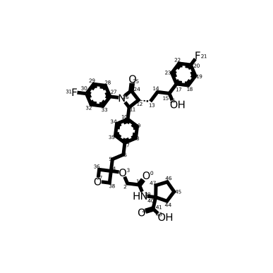 O=C(COC1(CCc2ccc(C3[C@@H](CCC(O)c4ccc(F)cc4)C(=O)N3c3ccc(F)cc3)cc2)COC1)NC1(C(=O)O)CCCC1